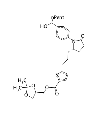 CCCCC[C@H](O)c1ccc(N2C(=O)CC[C@@H]2CCCc2ccc(C(=O)OC[C@H]3COC(C)(C)O3)s2)cc1